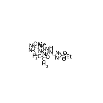 CCS(=O)(=O)c1cnc(CNc2nc3cnc(-c4c(OC)ncnc4C4CC4)nc3n(C(C)C(F)(F)F)c2=O)nc1